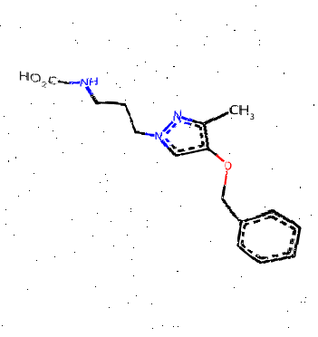 Cc1nn(CCCNC(=O)O)cc1OCc1ccccc1